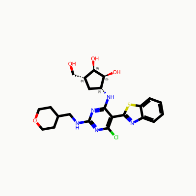 OC[C@H]1C[C@@H](Nc2nc(NCC3CCOCC3)nc(Cl)c2-c2nc3ccccc3s2)[C@H](O)[C@@H]1O